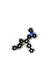 c1ccc(-c2ccc(-c3cc(-c4ccc5c(c4)c4ccccc4n5-c4ccccc4)cc(-c4cccc5c4sc4ccc(-c6ccccc6)cc45)c3)cc2)cc1